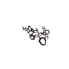 CN1C[C@H](CCN2[C@@H]3CC[C@H]2C[C@@H](OC(c2ccccc2)c2ccccc2)C3)C[C@@H]2c3cccc4[nH]cc(c34)C[C@H]21